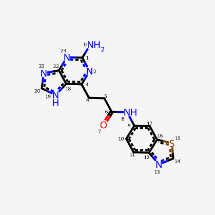 Nc1nc(CCC(=O)Nc2ccc3ncsc3c2)c2[nH]cnc2n1